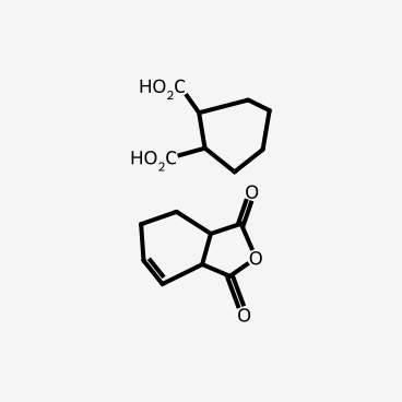 O=C(O)C1CCCCC1C(=O)O.O=C1OC(=O)C2CCC=CC12